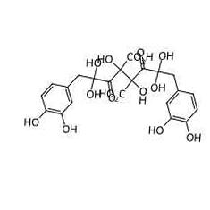 O=C(O)C(O)(C(=O)C(O)(O)Cc1ccc(O)c(O)c1)C(O)(C(=O)O)C(=O)C(O)(O)Cc1ccc(O)c(O)c1